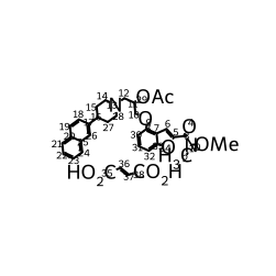 CON(C)C(=O)c1cc2c(OC[C@H](CN3CCC(c4ccc5ccccc5c4)CC3)OC(C)=O)cccc2o1.O=C(O)C=CC(=O)O